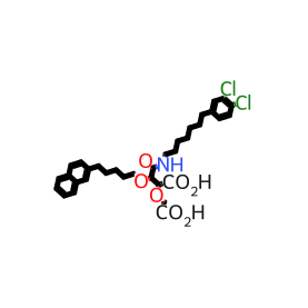 O=C(O)COC(C(=O)O)C(OCCCCCc1ccc2ccccc2c1)C(=O)NCCCCCCCc1ccc(Cl)c(Cl)c1